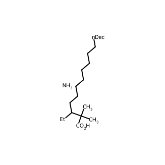 CCCCCCCCCCCCCCCCCCC(CC)C(C)(C)C(=O)O.N